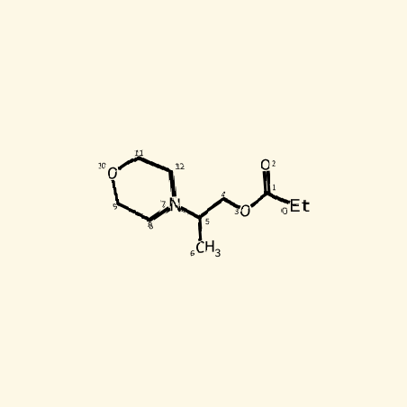 CCC(=O)OCC(C)N1CCOCC1